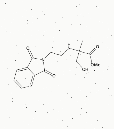 COC(=O)C(C)(CO)NCCN1C(=O)c2ccccc2C1=O